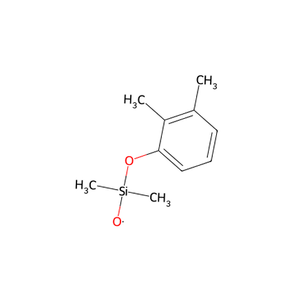 Cc1cccc(O[Si](C)(C)[O])c1C